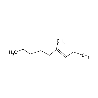 [CH2]CCCC/C(C)=C/CC